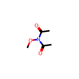 CON(C(C)=O)C(C)=O